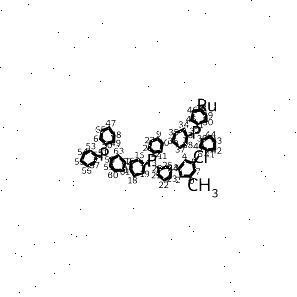 Cc1cccc(Cl)c1.[Ru].c1ccc(P(c2ccccc2)c2ccccc2)cc1.c1ccc(P(c2ccccc2)c2ccccc2)cc1.c1ccc(P(c2ccccc2)c2ccccc2)cc1